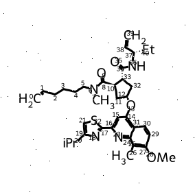 C=CCCCCN(C)C(=O)[C@@H]1C[C@H](Oc2cc(-c3nc(C(C)C)cs3)nc3c(C)c(OC)ccc23)C[C@H]1C(=O)N[C@H](C=C)CC